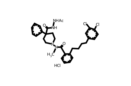 CC(=O)NNC(=O)C1(c2ccccc2)CCN(N(C)C(=O)c2ccccc2CCCCc2ccc(Cl)c(Cl)c2)CC1.Cl